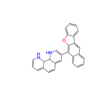 C1=CNC2C(=C1)C=CC1=CC(c3c4ccccc4cc4c3oc3ccccc34)=CNC12